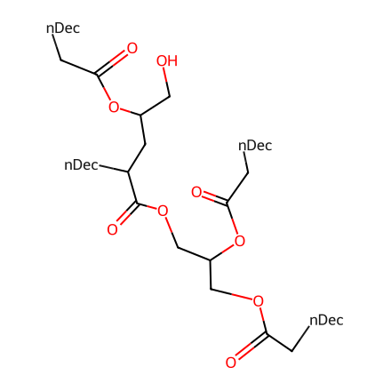 CCCCCCCCCCCC(=O)OCC(COC(=O)C(CCCCCCCCCC)CC(CO)OC(=O)CCCCCCCCCCC)OC(=O)CCCCCCCCCCC